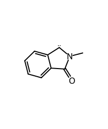 CN1[C]c2ccccc2C1=O